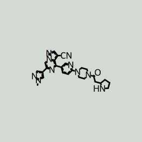 Cn1cc(-c2cn3ncc(C#N)c3c(-c3ccc(N4CCN(C(=O)CC5CCCN5)CC4)nc3)n2)cn1